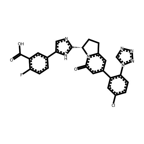 O=C(O)c1cc(-c2cnc([C@@H]3CCc4cc(-c5cc(Cl)ccc5-n5cnnn5)cc(=O)n43)[nH]2)ccc1F